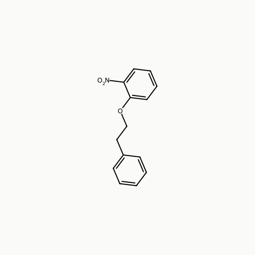 O=[N+]([O-])c1ccccc1OCCc1ccccc1